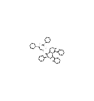 c1ccc(-c2cc(-n3c4ccccc4c4c5sc6ccccc6c5c5c(ccc6sc7ccccc7c65)c43)nc(-c3ccccc3)n2)cc1